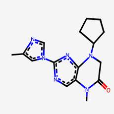 Cc1cn(-c2ncc3c(n2)N(C2CCCC2)CC(=O)N3C)cn1